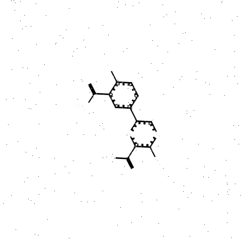 CNC(=O)c1nc(-c2ccc(Cl)c(C(=O)OC)c2)cnc1N